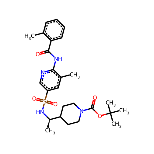 Cc1ccccc1C(=O)Nc1ncc(S(=O)(=O)N[C@H](C)C2CCN(C(=O)OC(C)(C)C)CC2)cc1C